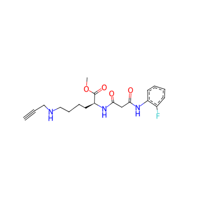 C#CCNCCCC[C@H](NC(=O)CC(=O)Nc1ccccc1F)C(=O)OC